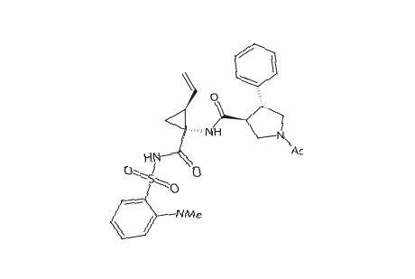 C=C[C@@H]1C[C@]1(NC(=O)[C@@H]1CN(C(C)=O)C[C@H]1c1ccccc1)C(=O)NS(=O)(=O)c1ccccc1NC